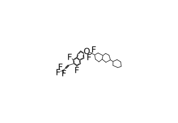 Fc1cc2cc(OC(F)(F)C3CCC4CC(C5CCCCC5)CCC4C3)ccc2c(F)c1C#CC(F)(F)F